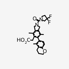 Cc1c(-c2c(C)c3c(c(C)c2CC(=O)O)CN(C(=O)N2CCC(F)(F)C2)C3)ccc2c1CCCO2